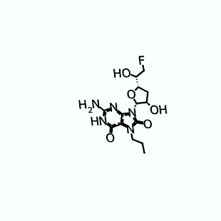 CCCn1c(=O)n([C@@H]2O[C@H](C(O)CF)C[C@H]2O)c2nc(N)[nH]c(=O)c21